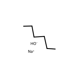 CCCCCC.[Na+].[OH-]